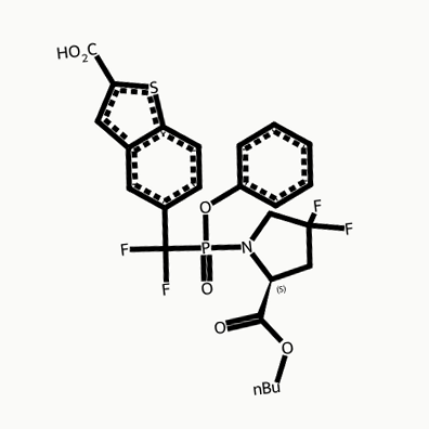 CCCCOC(=O)[C@@H]1CC(F)(F)CN1P(=O)(Oc1ccccc1)C(F)(F)c1ccc2sc(C(=O)O)cc2c1